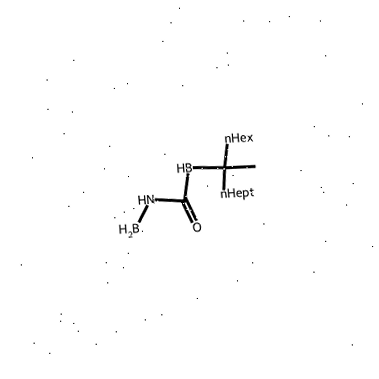 BNC(=O)BC(C)(CCCCCC)CCCCCCC